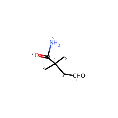 CC(C)(C[C]=O)C(N)=O